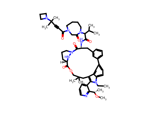 CCn1c(-c2cccnc2[C@H](C)OC)c2c3cc(ccc31)-c1cccc(c1)C[C@H](NC(=O)C(C(C)C)N1CCCCN(C(=O)C#CC(C)(C)N3CCC3)CC1=O)C(=O)N1CCC[C@H](N1)C(=O)OCC(C)(C)C2